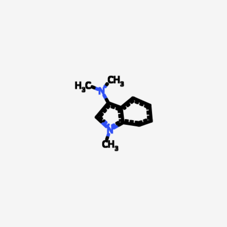 CN(C)c1cn(C)c2ccccc12